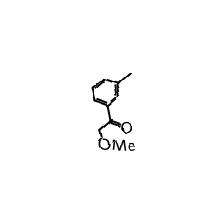 COCC(=O)c1cccc(C)c1